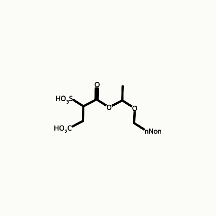 CCCCCCCCCCOC(C)OC(=O)C(CC(=O)O)S(=O)(=O)O